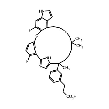 CC1(C)CCCC(C)(c2cccc(CCC(=O)O)c2)c2cnc([nH]2)-c2cc(ccc2F)Oc2c(F)cc3[nH]ccc3c2CCSC1